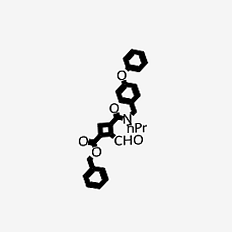 CCCN(Cc1ccc(Oc2ccccc2)cc1)C(=O)C1CC(C(=O)OCc2ccccc2)C1C=O